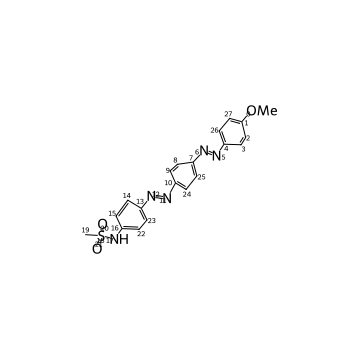 COc1ccc(N=Nc2ccc(N=Nc3ccc(NS(C)(=O)=O)cc3)cc2)cc1